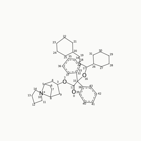 O=C(OC1CC2CCC(C1)[N+]21CCCC1)C(OC(SCC1CCCCC1)C1CCCCC1)(c1ccccc1)c1ccccc1